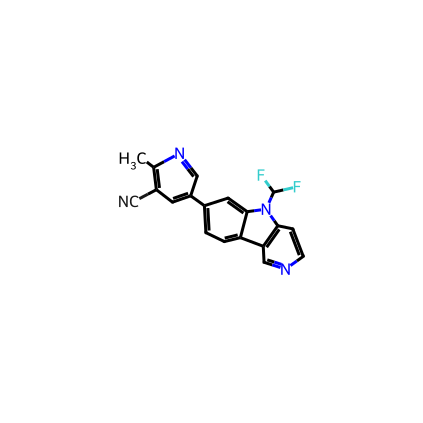 Cc1ncc(-c2ccc3c4cnccc4n(C(F)F)c3c2)cc1C#N